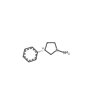 NN1CC[C@@H](c2ccccc2)C1